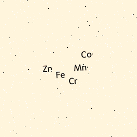 [Co].[Cr].[Fe].[Mn].[Zn]